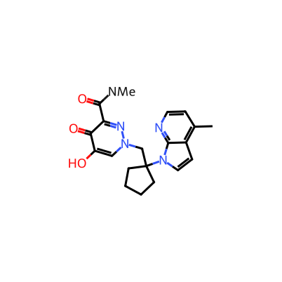 CNC(=O)c1nn(CC2(n3ccc4c(C)ccnc43)CCCC2)cc(O)c1=O